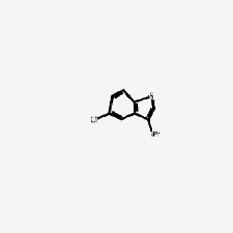 CC(C)c1csc2ccc(Cl)cc12